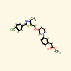 COC(=O)Cc1cccc(N2CCCC(OCc3sc(-c4ccc(Cl)cc4)nc3C)C2)c1